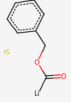 [Li][C](=O)OCc1ccccc1.[S]